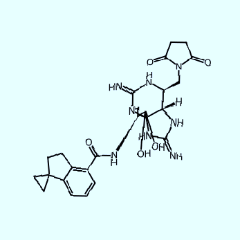 N=C1N[C@H]2[C@H](CN3C(=O)CCC3=O)NC(=N)N3C[C@H](NC(=O)c4cccc5c4CCC54CC4)C(O)(O)C23N1